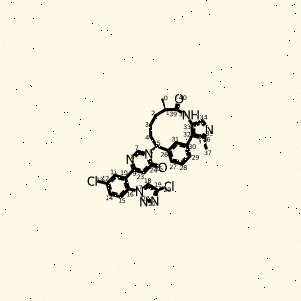 C[C@@H]1CCC[C@H](n2cnc(-c3cc(Cl)ccc3-n3cc(Cl)nn3)cc2=O)c2cccc(c2)-c2c(cnn2C)NC1=O